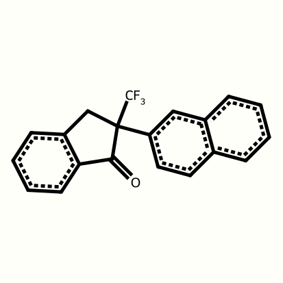 O=C1c2ccccc2CC1(c1ccc2ccccc2c1)C(F)(F)F